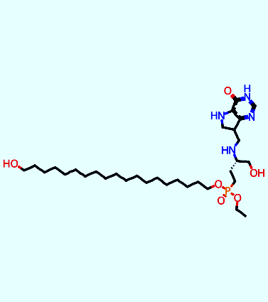 CCOP(=O)(CC[C@@H](CO)NCC1CNc2c1nc[nH]c2=O)OCCCCCCCCCCCCCCCCCCCO